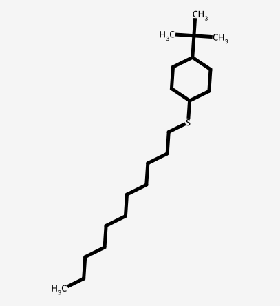 CCCCCCCCCCCSC1CCC(C(C)(C)C)CC1